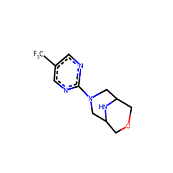 FC(F)(F)c1cnc(N2CC3COCC(C2)N3)nc1